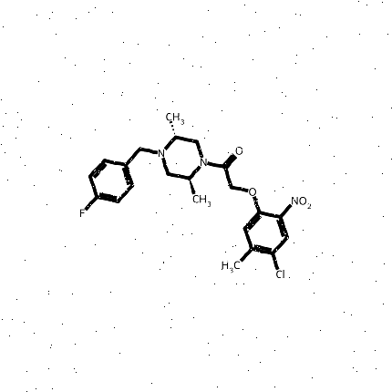 Cc1cc(OCC(=O)N2C[C@@H](C)N(Cc3ccc(F)cc3)C[C@@H]2C)c([N+](=O)[O-])cc1Cl